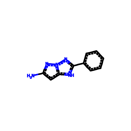 Nc1cc2[nH]c(-c3ccccc3)nn2n1